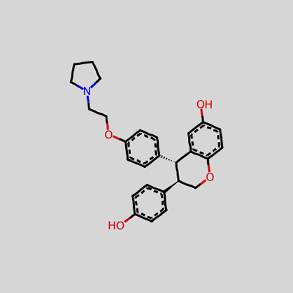 Oc1ccc([C@@H]2COc3ccc(O)cc3[C@H]2c2ccc(OCCN3CCCC3)cc2)cc1